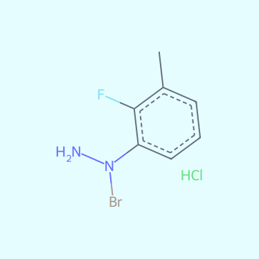 Cc1cccc(N(N)Br)c1F.Cl